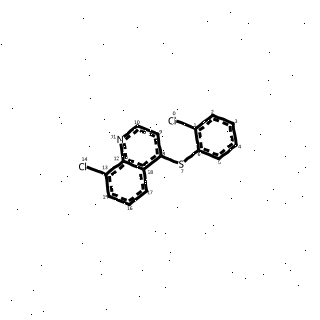 Clc1ccccc1Sc1ccnc2c(Cl)cccc12